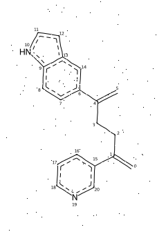 C=C(CCC(=C)c1ccc2[nH]ccc2c1)c1cccnc1